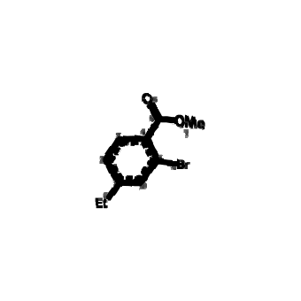 [CH2-][CH+]c1ccc(C(=O)OC)c(Br)c1